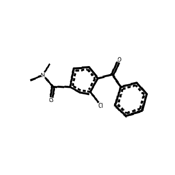 CN(C)C(=O)c1ccc(C(=O)c2ccccc2)c(Cl)c1